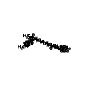 C=C(OS(=O)(=O)c1ccc(C)cc1)C(=O)OCCOCCOCCOC(=O)NCCC[Si](OC)(OC)OC